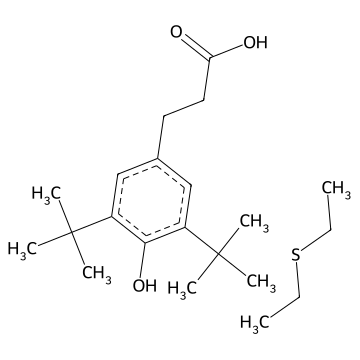 CC(C)(C)c1cc(CCC(=O)O)cc(C(C)(C)C)c1O.CCSCC